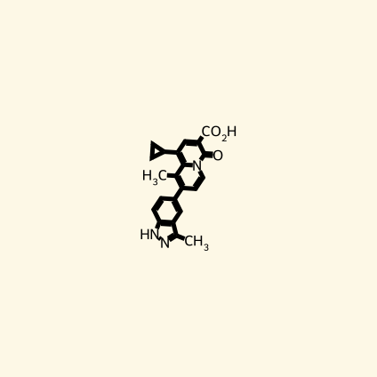 Cc1n[nH]c2ccc(-c3ccn4c(=O)c(C(=O)O)cc(C5CC5)c4c3C)cc12